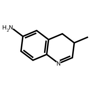 CC1C=Nc2ccc(N)cc2C1